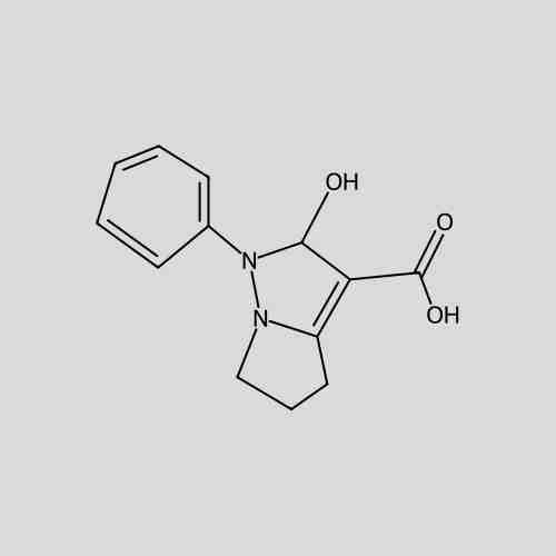 O=C(O)C1=C2CCCN2N(c2ccccc2)C1O